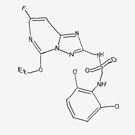 CCOc1nc(F)cc2nc(NS(=O)(=O)Nc3c(Cl)cccc3Cl)nn12